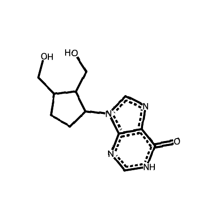 O=c1[nH]cnc2c1ncn2C1CCC(CO)C1CO